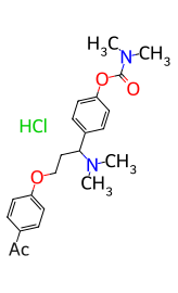 CC(=O)c1ccc(OCCC(c2ccc(OC(=O)N(C)C)cc2)N(C)C)cc1.Cl